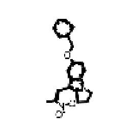 CC(=Cc1c2n(c3ccc(OCc4ccccc4)cc13)CCC2)[N+](=O)[O-]